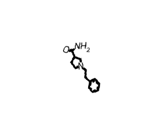 NC(=O)C1CCN(CCc2ccccc2)C1